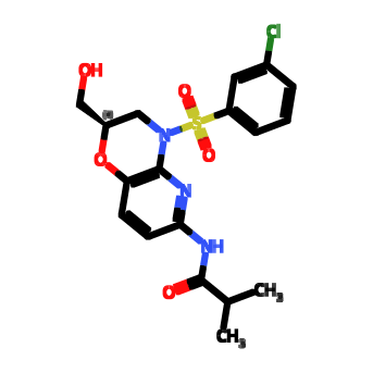 CC(C)C(=O)Nc1ccc2c(n1)N(S(=O)(=O)c1cccc(Cl)c1)C[C@H](CO)O2